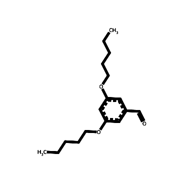 CCCCCOc1cc(C=O)cc(OCCCCC)c1